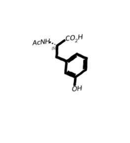 CC(=O)N[C@@H](Cc1cccc(O)c1)C(=O)O